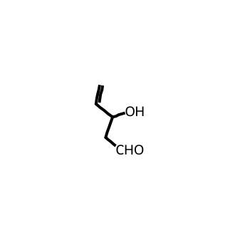 C=CC(O)CC=O